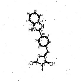 O=C1NC(=O)C(=Cc2ccc(-c3nc4ccccc4[nH]3)cc2)S1